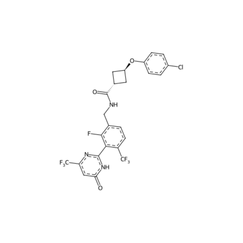 O=c1cc(C(F)(F)F)nc(-c2c(C(F)(F)F)ccc(CNC(=O)[C@H]3C[C@H](Oc4ccc(Cl)cc4)C3)c2F)[nH]1